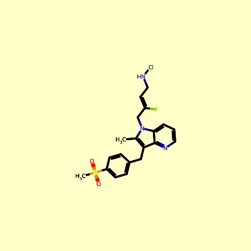 Cc1c(Cc2ccc(S(C)(=O)=O)cc2)c2ncccc2n1C/C(F)=C/CNCl